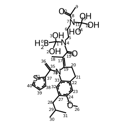 BC(O)(O)N(CCN(C(C)=O)C(O)(O)O)C(=O)/C(C)=C1\CCc2cc(OC)c(CC(C)C)cc2N1C(=C)c1cccs1